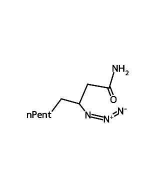 CCCCCCC(CC(N)=O)N=[N+]=[N-]